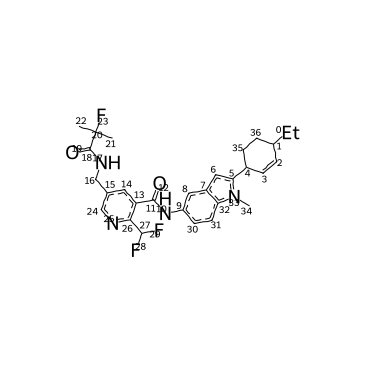 CCC1C=CC(c2cc3cc(NC(=O)c4cc(CNC(=O)C(C)(C)F)cnc4C(F)F)ccc3n2C)CC1